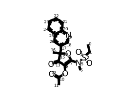 CCS(=O)(=O)N(C)C1=C(OC(C)=O)C(=O)C(C)(c2cnc3ccccc3c2)O1